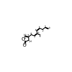 C=CC/C=C\C(C)=C/CC1=COC(=O)C1